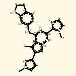 Cc1c(-c2ccn(C)n2)cn2nc(-c3nccn3C)nc(Nc3cc4c(cn3)CCO4)c12